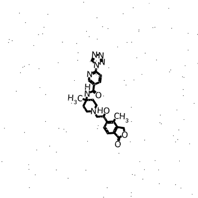 Cc1c(C(O)CN2CCC(C)(NC(=O)c3ccc(-n4cnnn4)nc3)CC2)ccc2c1COC2=O